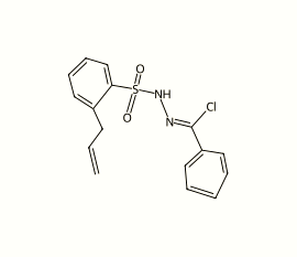 C=CCc1ccccc1S(=O)(=O)NN=C(Cl)c1ccccc1